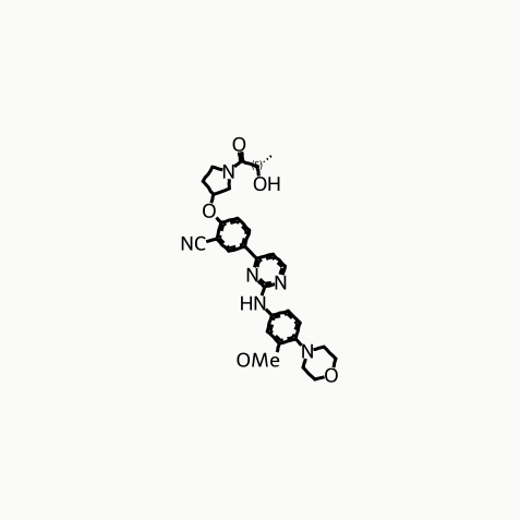 COc1cc(Nc2nccc(-c3ccc(OC4CCN(C(=O)[C@H](C)O)C4)c(C#N)c3)n2)ccc1N1CCOCC1